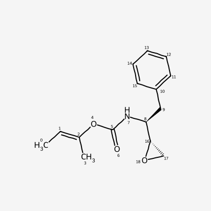 C/C=C(\C)OC(=O)N[C@@H](Cc1ccccc1)[C@@H]1CO1